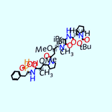 CC[C@H](C)[C@@H]([C@@H](CC(=O)N1CCCC1[C@H](OC)[C@@H](C)C(=O)N[C@@H](Cc1ccccc1)[PH](=O)O)OC)N(C)C(=O)C(NC(=O)[C@@H]1[C@H]2CC[C@H](C2)N1C(=O)OC(C)(C)C)C(C)C